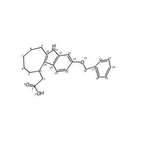 O=C(O)CC1CCCCCc2[nH]c3cc(OCc4ccccc4)ccc3c21